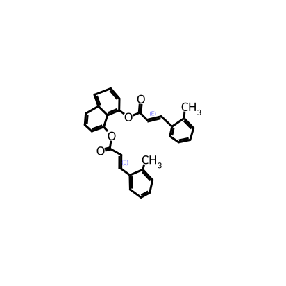 Cc1ccccc1/C=C/C(=O)Oc1cccc2cccc(OC(=O)/C=C/c3ccccc3C)c12